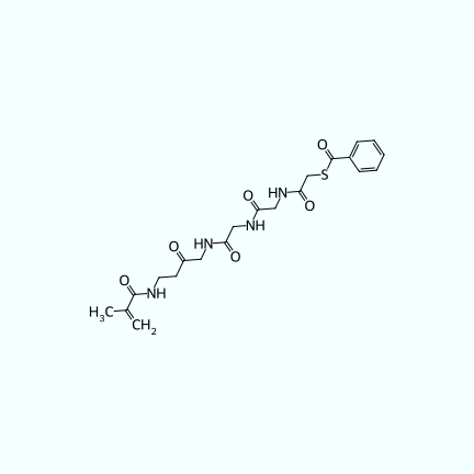 C=C(C)C(=O)NCCC(=O)CNC(=O)CNC(=O)CNC(=O)CSC(=O)c1ccccc1